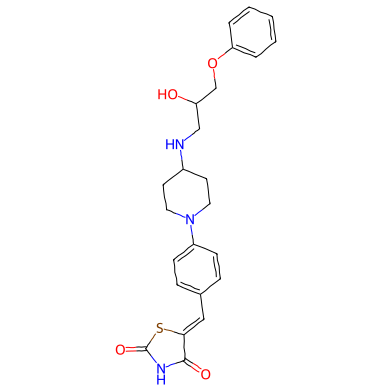 O=C1NC(=O)C(=Cc2ccc(N3CCC(NCC(O)COc4ccccc4)CC3)cc2)S1